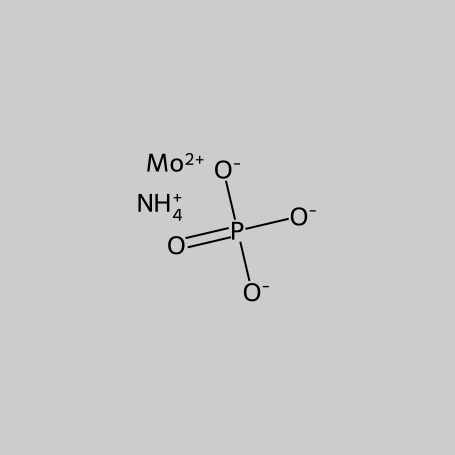 O=P([O-])([O-])[O-].[Mo+2].[NH4+]